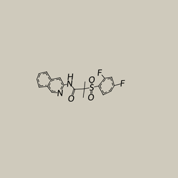 CC(C)(C(=O)Nc1cc2ccccc2cn1)S(=O)(=O)c1ccc(F)cc1F